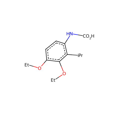 CCOc1ccc(NC(=O)O)c(C(C)C)c1OCC